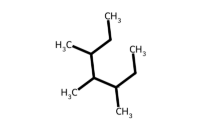 CC[C](C)C(C)C(C)CC